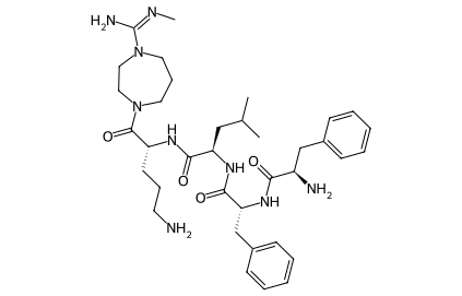 C/N=C(/N)N1CCCN(C(=O)[C@@H](CCCN)NC(=O)[C@@H](CC(C)C)NC(=O)[C@@H](Cc2ccccc2)NC(=O)[C@H](N)Cc2ccccc2)CC1